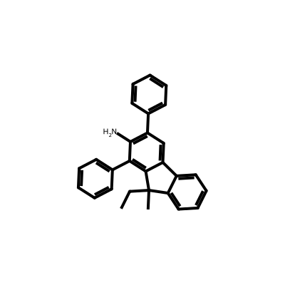 CCC1(C)c2ccccc2-c2cc(-c3ccccc3)c(N)c(-c3ccccc3)c21